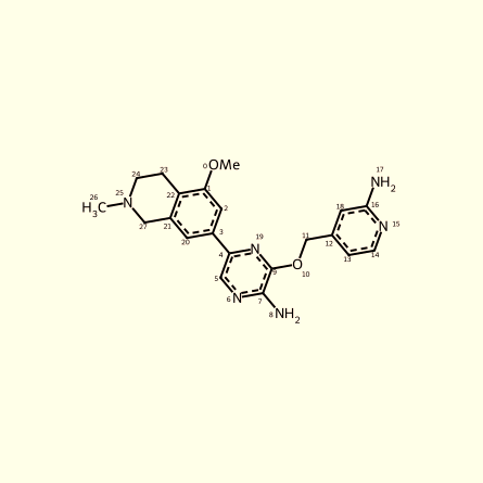 COc1cc(-c2cnc(N)c(OCc3ccnc(N)c3)n2)cc2c1CCN(C)C2